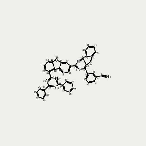 N#Cc1cccc(-c2nc(-c3ccc4c(c3)oc3cccc(-c5nc(-c6ccccc6)nc(-c6ccccc6)n5)c34)nc3c2sc2ccccc23)c1